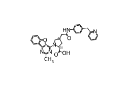 Cc1nc(N2C[C@@H](CC(=O)Nc3ccc(Cc4ccccn4)cc3)C[C@H]2C(=O)O)c2oc3ccccc3c2n1